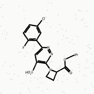 CC(C)OC(=O)C1CCN1c1nnc(-c2cc(Cl)ccc2F)cc1C(=O)O